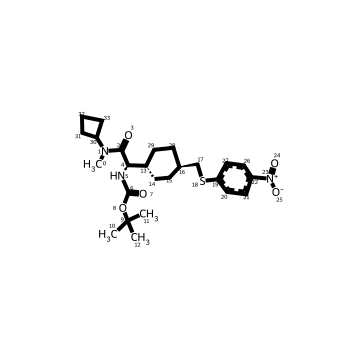 CN(C(=O)[C@@H](NC(=O)OC(C)(C)C)[C@H]1CC[C@H](CSc2ccc([N+](=O)[O-])cc2)CC1)C1CCC1